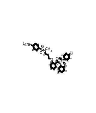 CC(=O)Nc1ccc(S(=O)(=O)N(C)CCCOc2ccccc2C(C)N(c2cc(F)ccc2F)S(=O)(=O)c2ccc(Cl)cc2)cc1